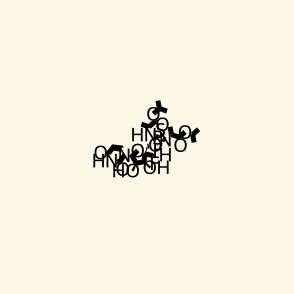 CC(C)OC(=O)C(C)NP(=S)(NC(C)C(=O)OC(C)C)OC[C@@]1(C(F)F)O[C@@H](n2ccc(=O)[nH]c2=O)[C@H](O)[C@@H]1O